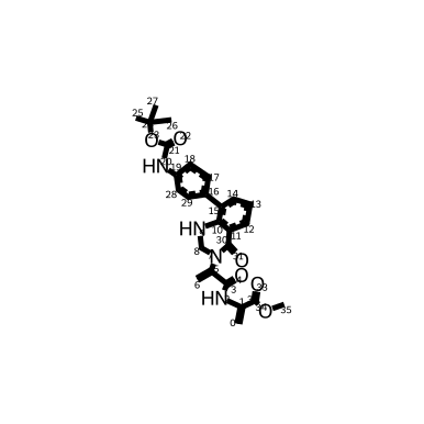 C=C(NC(=O)C(=C)N1CNc2c(cccc2-c2ccc(NC(=O)OC(C)(C)C)cc2)C1=O)C(=O)OC